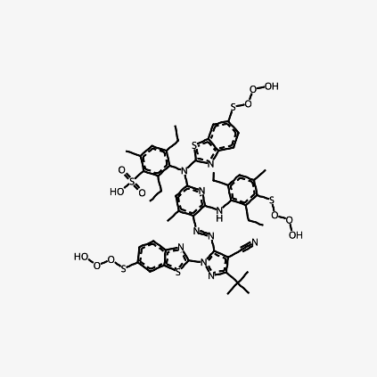 CCc1cc(C)c(SOOO)c(CC)c1Nc1nc(N(c2nc3ccc(SOOO)cc3s2)c2c(CC)cc(C)c(S(=O)(=O)O)c2CC)cc(C)c1/N=N/c1c(C#N)c(C(C)(C)C)nn1-c1nc2ccc(SOOO)cc2s1